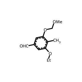 CCOc1cc(C=O)cc(OCOC)c1C